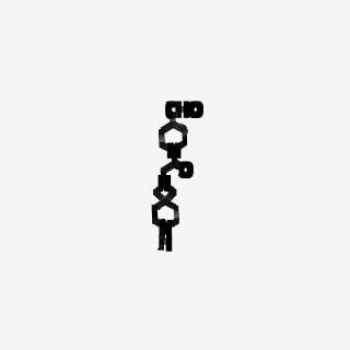 O=CC1CCN(C(=O)CN2CC3(CCNCC3)C2)CC1